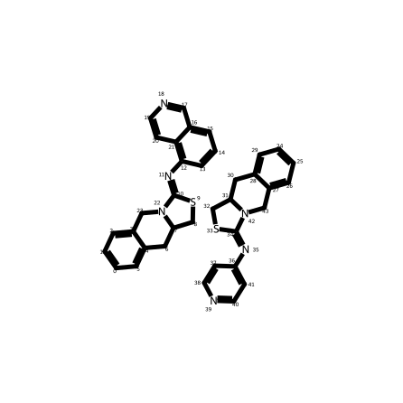 c1ccc2c(c1)CC1CSC(=Nc3cccc4cnccc34)N1C2.c1ccc2c(c1)CC1CSC(=Nc3ccncc3)N1C2